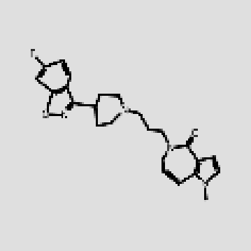 Cn1ccc2c1C=CCN(CCCN1CCC(c3noc4cc(F)ccc34)CC1)C2=O